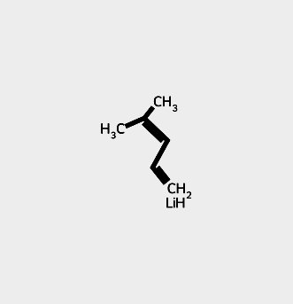 C=CC=C(C)C.[LiH]